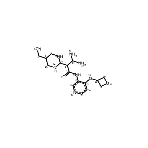 N#CCC1CNC(C(C(=O)Nc2cnccc2OC2COC2)C(N)N)NC1